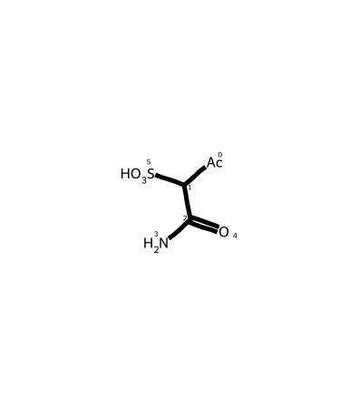 CC(=O)C(C(N)=O)S(=O)(=O)O